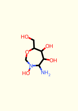 NC1C(O)C(O)C(CO)OCN1O